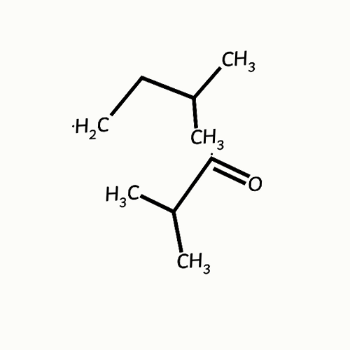 CC(C)[C]=O.[CH2]CC(C)C